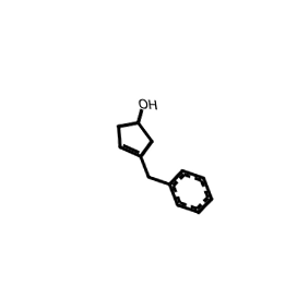 OC1CC=C(Cc2ccccc2)C1